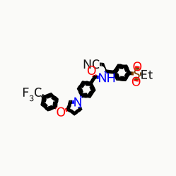 CCS(=O)(=O)c1ccc([C@H](CC#N)NC(=O)c2ccc(N3CCC(Oc4ccc(C(F)(F)F)cc4)C3)cc2)cc1